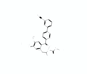 CNC(=O)N1N=C(c2ccc(-c3cccc(C#N)c3)cc2)c2cc(OC)c(OC)cc2CC1C